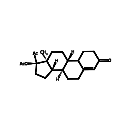 CC(=O)O[C@]1(C(C)=O)CC[C@H]2[C@@H]3CCC4=CC(=O)CCC4[C@H]3CC[C@@]21C